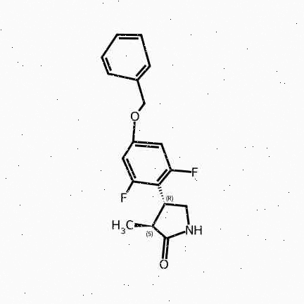 C[C@@H]1C(=O)NC[C@H]1c1c(F)cc(OCc2ccccc2)cc1F